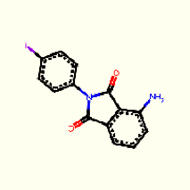 Nc1cccc2c1C(=O)N(c1ccc(I)cc1)C2=O